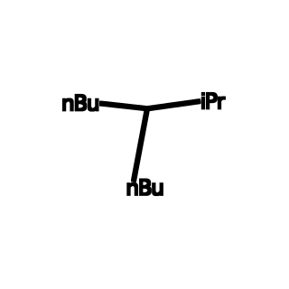 CCCCC(CCCC)C(C)C